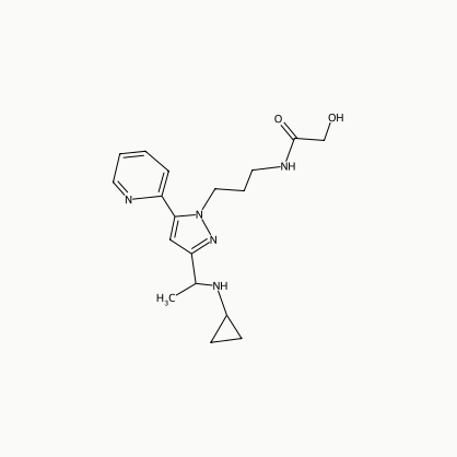 CC(NC1CC1)c1cc(-c2ccccn2)n(CCCNC(=O)CO)n1